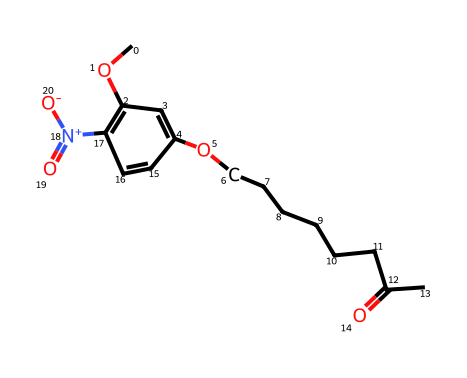 COc1cc(OCCCCCCC(C)=O)ccc1[N+](=O)[O-]